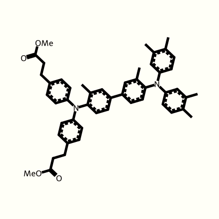 COC(=O)CCc1ccc(N(c2ccc(CCC(=O)OC)cc2)c2ccc(-c3ccc(N(c4ccc(C)c(C)c4)c4ccc(C)c(C)c4)c(C)c3)cc2C)cc1